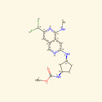 CCCCOC(=O)N[C@@H]1CC[C@H](Nc2cc3c(NC(C)C)nc(C(F)F)cc3cn2)C1